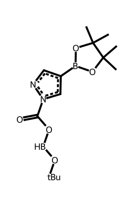 CC(C)(C)OBOC(=O)n1cc(B2OC(C)(C)C(C)(C)O2)cn1